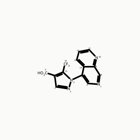 O=C(O)c1cnn(-c2cncc3ncccc23)c1C(F)(F)F